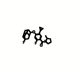 CC1CCCN1C(=O)c1cc(C2CC2)c(OC2C3CC4CC2CC(F)(C4)C3)cc1F